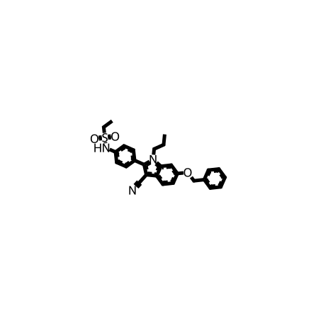 CCCn1c(-c2ccc(NS(=O)(=O)CC)cc2)c(C#N)c2ccc(OCc3ccccc3)cc21